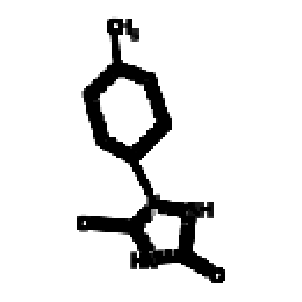 Cc1ccc(-n2[nH]c(=O)[nH]c2=O)cc1